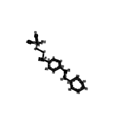 O=S(=O)(F)CCNc1ccc(N=Nc2ccccc2)cc1